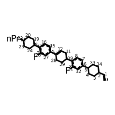 C=CC1CCC(c2ccc(C3CC=C(c4ccc(C5CCC(CCC)CC5)c(F)c4)CC3)c(F)c2)CC1